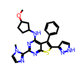 COC1CCC(Nc2nc(-c3nccn3C)nc3sc(-c4cc[nH]n4)c(-c4ccccc4)c23)C1